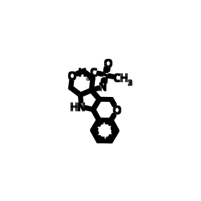 CS(C)(=O)=NC12CCOCC1NC1c3ccccc3OCC12